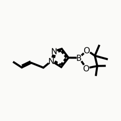 CC=CCn1cc(B2OC(C)(C)C(C)(C)O2)cn1